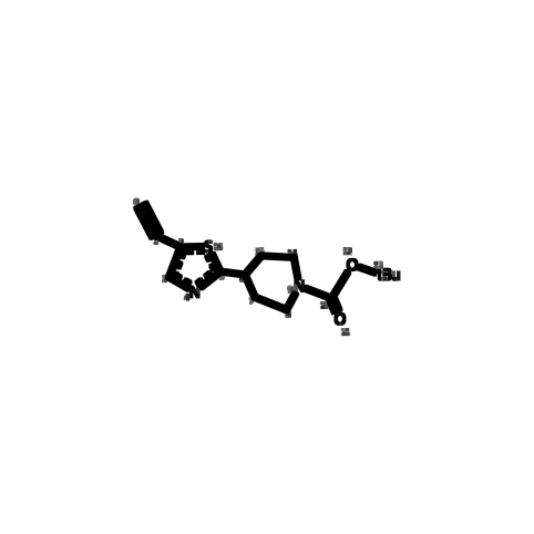 C#Cc1cnc(C2CCN(C(=O)OC(C)(C)C)CC2)s1